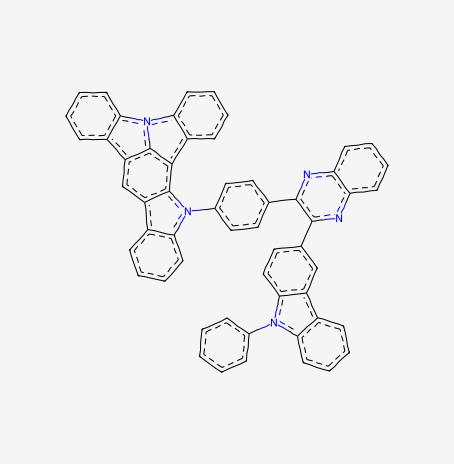 c1ccc(-n2c3ccccc3c3cc(-c4nc5ccccc5nc4-c4ccc(-n5c6ccccc6c6cc7c8ccccc8n8c9ccccc9c(c65)c78)cc4)ccc32)cc1